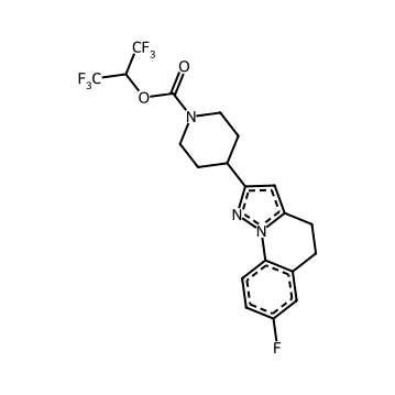 O=C(OC(C(F)(F)F)C(F)(F)F)N1CCC(c2cc3n(n2)-c2ccc(F)cc2CC3)CC1